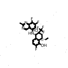 CC[C@H]1C[C@](O)(C(F)(F)F)[C@@H](Nc2cc(F)c(F)c3nc(C)ncc23)c2ccc(F)c(O)c21